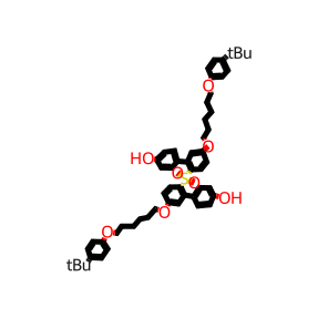 CC(C)(C)c1ccc(OCCCCCCOc2ccc(S(=O)(=O)c3ccc(OCCCCCCOc4ccc(C(C)(C)C)cc4)cc3-c3ccc(O)cc3)c(-c3ccc(O)cc3)c2)cc1